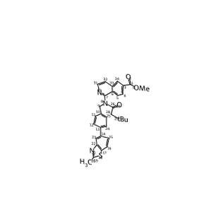 COC(=O)c1ccc2c(N(Cc3ccc(-c4ccc5sc(C)nc5c4)cc3)C(=O)CC(C)(C)C)nccc2c1